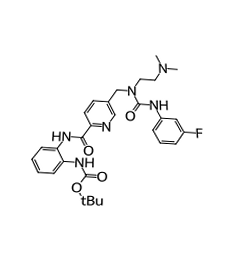 CN(C)CCN(Cc1ccc(C(=O)Nc2ccccc2NC(=O)OC(C)(C)C)nc1)C(=O)Nc1cccc(F)c1